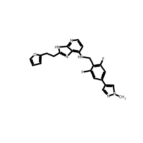 Cn1cc(-c2cc(F)c(CNc3ccnc4[nH]c(CCc5ccco5)nc34)c(F)c2)cn1